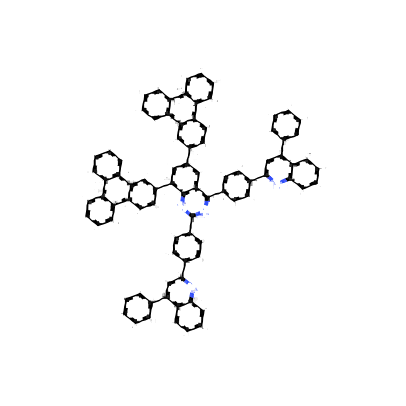 c1ccc(-c2cc(-c3ccc(-c4nc(-c5ccc(-c6cc(-c7ccccc7)c7ccccc7n6)cc5)c5cc(-c6ccc7c8ccccc8c8ccccc8c7c6)cc(-c6ccc7c8ccccc8c8ccccc8c7c6)c5n4)cc3)nc3ccccc23)cc1